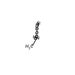 CCCCCCC1CC[C@@H]2C[C@H](c3ccc(-c4ccc(OCC(F)(F)F)cc4)cc3)CC[C@@H]2C1